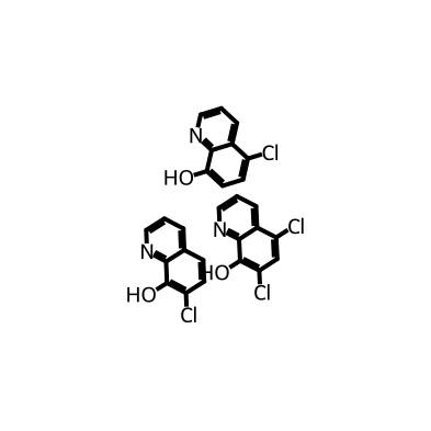 Oc1c(Cl)cc(Cl)c2cccnc12.Oc1c(Cl)ccc2cccnc12.Oc1ccc(Cl)c2cccnc12